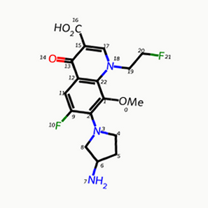 COc1c(N2CCC(N)C2)c(F)cc2c(=O)c(C(=O)O)cn(CCF)c12